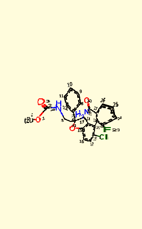 CC(C)(C)OC(=O)NCC1(c2ccccc2)Cc2c(ccc(Cl)c2-c2c(F)cccc2C(N)=O)O1